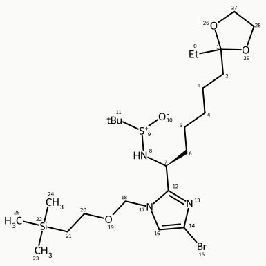 CCC1(CCCCC[C@H](N[S+]([O-])C(C)(C)C)c2nc(Br)cn2COCC[Si](C)(C)C)OCCO1